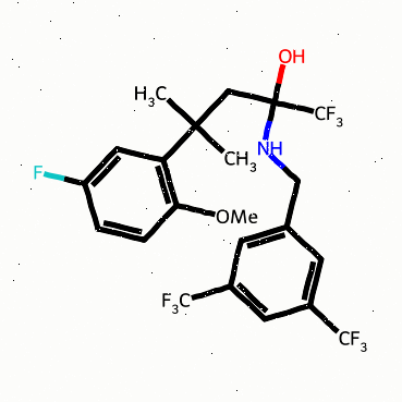 COc1ccc(F)cc1C(C)(C)CC(O)(NCc1cc(C(F)(F)F)cc(C(F)(F)F)c1)C(F)(F)F